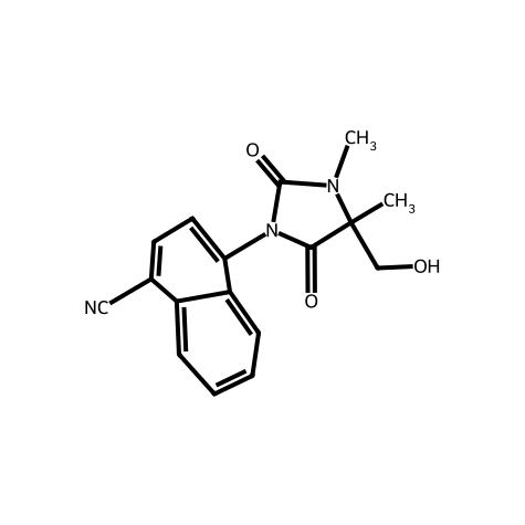 CN1C(=O)N(c2ccc(C#N)c3ccccc23)C(=O)C1(C)CO